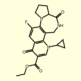 CCOC(=O)c1cn(C2CC2)c2c3c(c(F)cc2c1=O)N1CCCC1C(=O)NC3